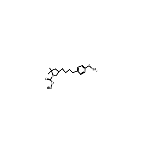 CC(C)(C)OC(=O)N1CC(CCCCc2ccc(SN)cc2)CC1(C)C